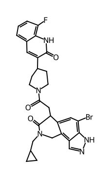 O=C(CC1C(=O)N(CC2CC2)Cc2c1cc(Br)c1[nH]ncc21)N1CCC(c2cc3cccc(F)c3[nH]c2=O)CC1